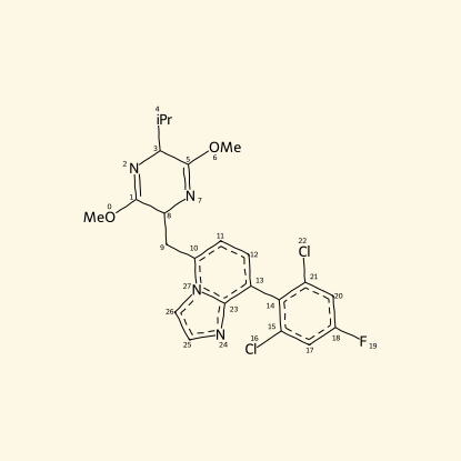 COC1=NC(C(C)C)C(OC)=NC1Cc1ccc(-c2c(Cl)cc(F)cc2Cl)c2nccn12